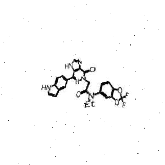 CCN(C(=O)Cn1nc(-c2ccc3[nH]ccc3c2)c2[nH]cnc2c1=O)c1ccc2c(c1)OC(F)(F)O2